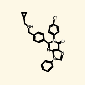 O=c1c2ncn(-c3ccccc3)c2nc(-c2ccc(CNCC3CC3)cc2)n1-c1ccc(Cl)cc1